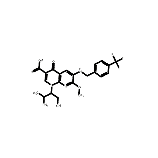 COc1nc2c(cc1NCc1ccc(C(F)(F)F)cc1)c(=O)c(C(=O)O)cn2C(CO)C(C)C